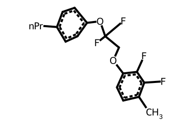 CCCc1ccc(OC(F)(F)COc2ccc(C)c(F)c2F)cc1